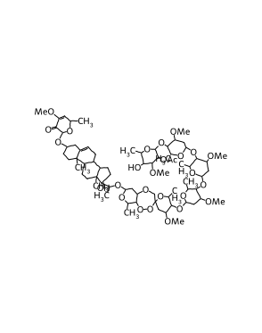 COC1=CC(C)OC(OC2CCC3(C)C(=CCC4C3CCC3(C)C4CCC3(O)C(C)OC3CC4OCC5(CC(OC)C(OC6CC(OC)C(OC7CC(OC)C(OC8CC(OC)C(OC9OC(C)C(O)C(OC)C9OC(C)=O)C(C)O8)C(C)O7)C(C)O6)C(C)O5)OOC4C(C)O3)C2)C1=O